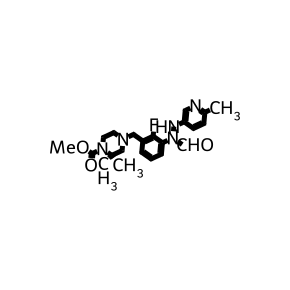 COC(=O)N1CCN(Cc2cccc(N(C=O)Nc3ccc(C)nc3)c2F)CC1(C)C